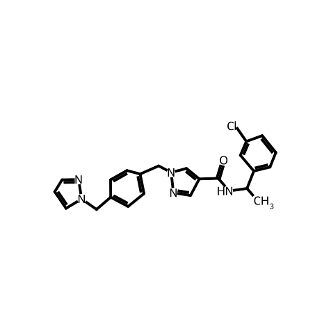 CC(NC(=O)c1cnn(Cc2ccc(Cn3cccn3)cc2)c1)c1cccc(Cl)c1